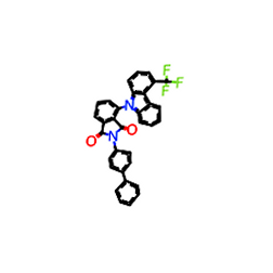 O=C1c2cccc(-n3c4ccccc4c4c(C(F)(F)F)cccc43)c2C(=O)N1c1ccc(-c2ccccc2)cc1